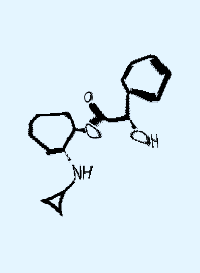 O=C(O[C@@H]1CCCC[C@H]1NC1CC1)[C@H](O)c1ccccc1